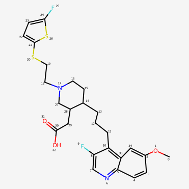 COc1ccc2ncc(F)c(CCCC3CCN(CCSc4ccc(F)s4)CC3CC(=O)O)c2c1